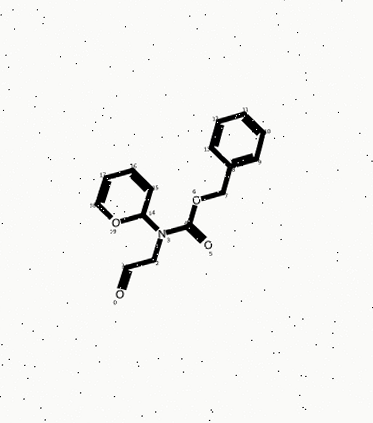 O=[C]CN(C(=O)OCc1ccccc1)C1C=CC=CO1